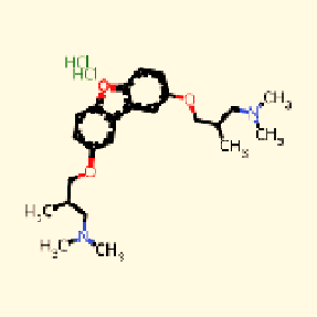 CC(COc1ccc2oc3ccc(OCC(C)CN(C)C)cc3c2c1)CN(C)C.Cl.Cl